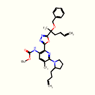 C=CCCC1CCCN1c1nc(-c2nnc(C(CCC=C)(OCc3ccccc3)C(F)(F)F)o2)c(NC(=O)OC(C)(C)C)cc1C(F)(F)F